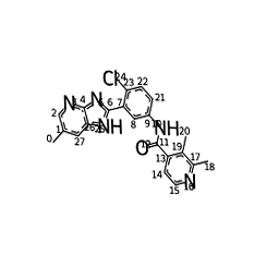 Cc1cnc2nc(-c3cc(NC(=O)c4ccnc(C)c4C)ccc3Cl)[nH]c2c1